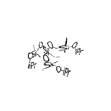 CC(C)O[Si](C)(C)O[Si](C)(O[Si](C)(C)OC(C)C)O[Si](C)(C)OC(C)C